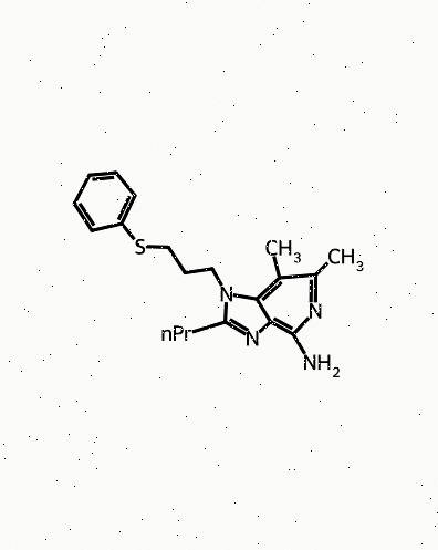 CCCc1nc2c(N)nc(C)c(C)c2n1CCCSc1ccccc1